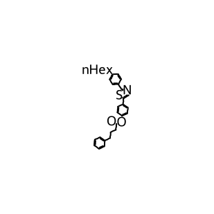 CCCCCCc1ccc(-c2ncc(-c3ccc(OC(=O)CCCc4ccccc4)cc3)s2)cc1